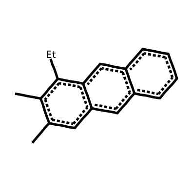 CCc1c(C)c(C)cc2cc3ccccc3cc12